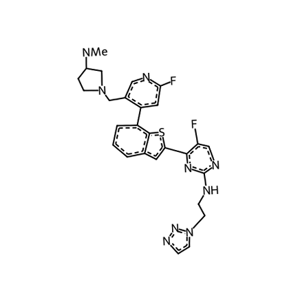 CNC1CCN(Cc2cnc(F)cc2-c2cccc3cc(-c4nc(NCCn5ccnn5)ncc4F)sc23)C1